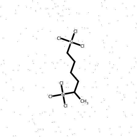 CC(CCCC[Si](Cl)(Cl)Cl)[Si](Cl)(Cl)Cl